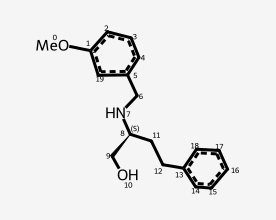 COc1cccc(CN[C@H](CO)CCc2ccccc2)c1